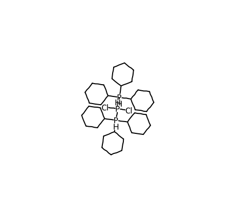 Cl[PH](Cl)([PH](C1CCCCC1)(C1CCCCC1)C1CCCCC1)[PH](C1CCCCC1)(C1CCCCC1)C1CCCCC1